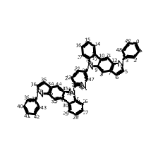 c1ccc(-n2ccc3cc4c(cc32)c2ccccc2n4-c2ccc(-n3c4ccccc4c4cc5c(ccn5-c5ccccc5)cc43)nc2)cc1